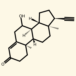 C#C[C@@H]1CC[C@H]2[C@@H]3C(O)CC4=CC(=O)CC[C@]4(C)[C@H]3CC[C@]12C